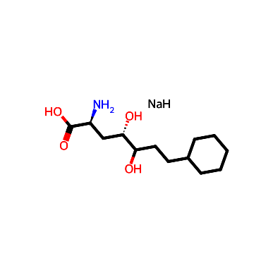 N[C@@H](C[C@H](O)C(O)CCC1CCCCC1)C(=O)O.[NaH]